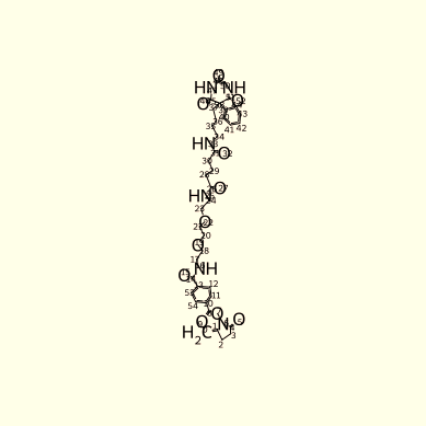 C=C1CCC(=O)N1OC(=O)c1ccc(C(=O)NCCOCCOCCNC(=O)CCCC(=O)NCCCCC2(c3ccccc3)C(=O)NC(=O)NC2=O)cc1